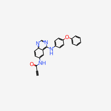 C#CC(=O)Nc1ccc2ncnc(Nc3ccc(Oc4ccccc4)cc3)c2c1